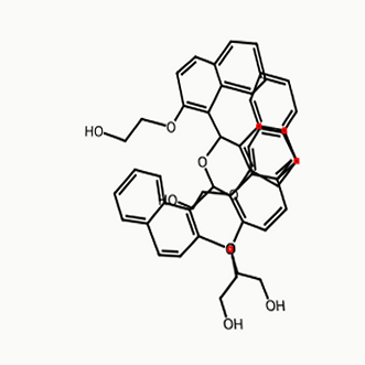 OCCOc1ccc2ccccc2c1C(OC(c1c(OCCO)ccc2ccccc12)c1c(OCCO)ccc2ccccc12)c1c(OCCO)ccc2ccccc12